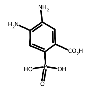 Nc1cc(C(=O)O)c(P(=O)(O)O)cc1N